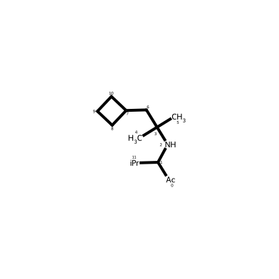 CC(=O)C(NC(C)(C)CC1CCC1)C(C)C